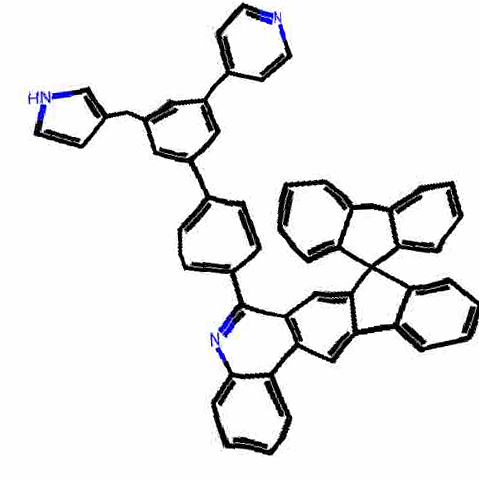 c1ccc2c(c1)-c1ccccc1C21c2ccccc2-c2cc3c(cc21)c(-c1ccc(-c2cc(-c4ccncc4)cc(-c4cc[nH]c4)c2)cc1)nc1ccccc13